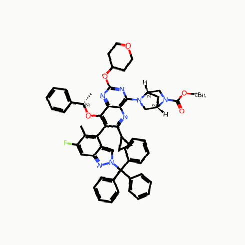 Cc1c(F)cc2nn(C(c3ccccc3)(c3ccccc3)c3ccccc3)cc2c1-c1c(C2CC2)nc2c(N3C[C@@H]4C[C@H]3CN4C(=O)OC(C)(C)C)nc(OC3CCOCC3)nc2c1O[C@@H](C)c1ccccc1